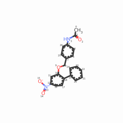 CC(=O)Nc1ccc(COc2cc([N+](=O)[O-])ccc2-c2ccccc2)cc1